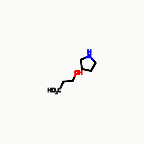 C1CCNC1.O=C(O)CCO